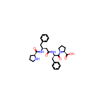 O=C(C[C@H](Cc1ccccc1)NC(=O)[C@@H]1CCCN1)N[C@H](Cc1ccccc1)C(=O)N1CCC[C@H]1C(=O)O